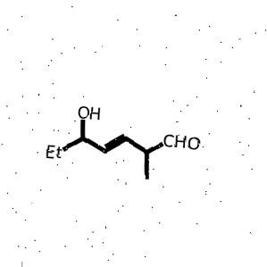 CCC(O)C=CC(C)C=O